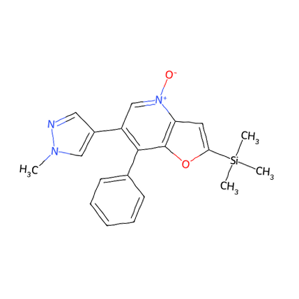 Cn1cc(-c2c[n+]([O-])c3cc([Si](C)(C)C)oc3c2-c2ccccc2)cn1